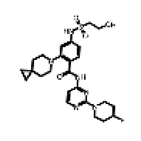 O=C(Nc1ccnc(N2CCC(F)CC2)n1)c1ccc(NS(=O)(=O)CCO)cc1N1CCC2(CC1)CC2